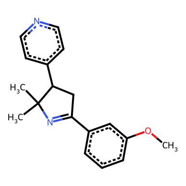 COc1cccc(C2=NC(C)(C)C(c3ccncc3)C2)c1